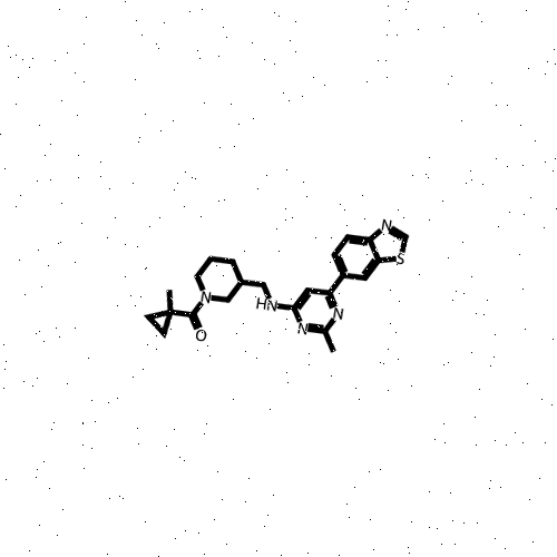 Cc1nc(NCC2CCCN(C(=O)C3(C)CC3)C2)cc(-c2ccc3ncsc3c2)n1